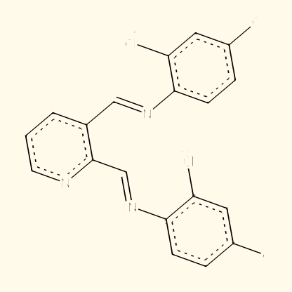 Clc1ccc(N=Cc2cccnc2C=Nc2ccc(Cl)cc2Cl)c(Cl)c1